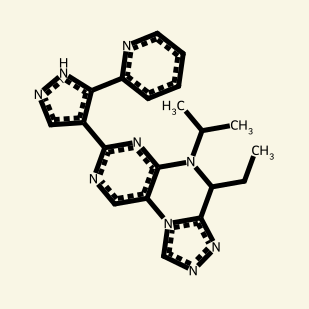 CCC1c2nncn2-c2cnc(-c3cn[nH]c3-c3ccccn3)nc2N1C(C)C